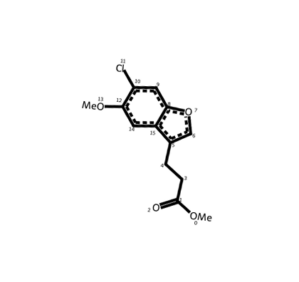 COC(=O)CCc1coc2cc(Cl)c(OC)cc12